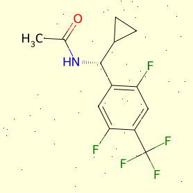 CC(=O)N[C@@H](c1cc(F)c(C(F)(F)F)cc1F)C1CC1